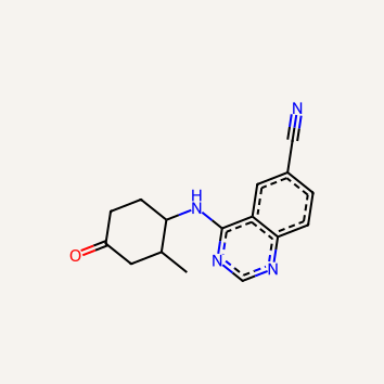 CC1CC(=O)CCC1Nc1ncnc2ccc(C#N)cc12